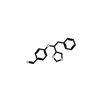 O=Cc1ccc(OC(Cc2ccccc2)C2COCO2)cc1